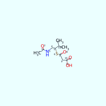 CC(=O)NCC(SC(=O)CC(=O)O)C(C)C